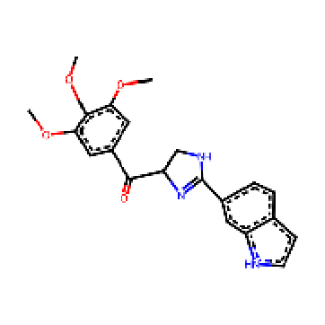 COc1cc(C(=O)C2CNC(c3ccc4cc[nH]c4c3)=N2)cc(OC)c1OC